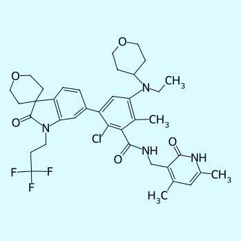 CCN(c1cc(-c2ccc3c(c2)N(CCC(F)(F)F)C(=O)C32CCOCC2)c(Cl)c(C(=O)NCc2c(C)cc(C)[nH]c2=O)c1C)C1CCOCC1